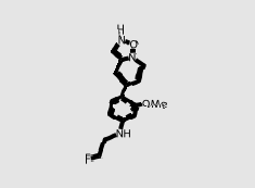 COc1cc(NCCF)ccc1C1=CC2=CNON2C=C1